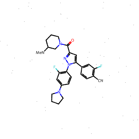 CNC1CCCN(C(=O)c2cc(-c3ccc(C#N)c(F)c3)n(-c3ccc(N4CCCC4)cc3F)n2)C1